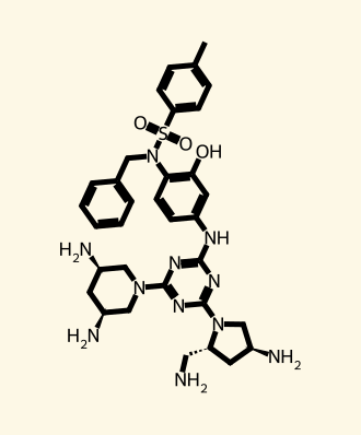 Cc1ccc(S(=O)(=O)N(Cc2ccccc2)c2ccc(Nc3nc(N4C[C@H](N)C[C@H](N)C4)nc(N4C[C@@H](N)C[C@@H]4CN)n3)cc2O)cc1